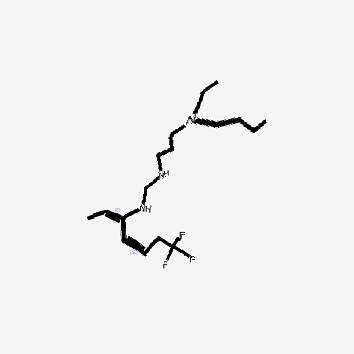 C/C=C(\C=C/CC(F)(F)F)NCNCCCN(CC)CCCC